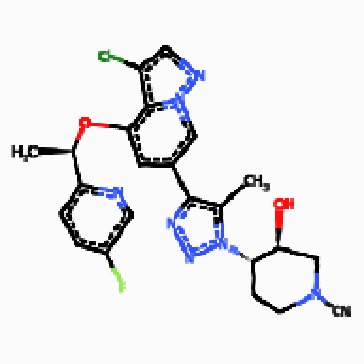 Cc1c(-c2cc(O[C@H](C)c3ccc(F)cn3)c3c(Cl)cnn3c2)nnn1[C@H]1CCN(C#N)C[C@@H]1O